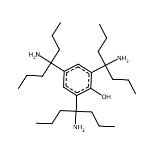 CCCC(N)(CCC)c1cc(C(N)(CCC)CCC)c(O)c(C(N)(CCC)CCC)c1